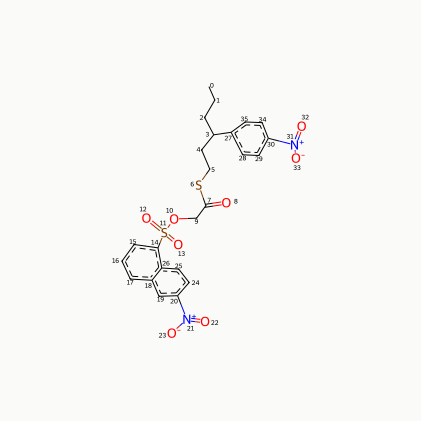 CCCC(CCSC(=O)COS(=O)(=O)c1cccc2cc([N+](=O)[O-])ccc12)c1ccc([N+](=O)[O-])cc1